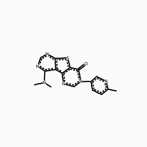 Cc1ccc(-n2cnc3c(sc4ncnc(N(C)C)c43)c2=O)cn1